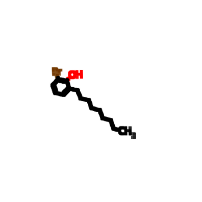 CCCCCCCCCc1cccc(Br)c1O